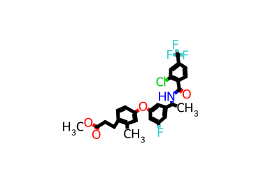 COC(=O)CCc1ccc(Oc2cc(F)cc(C(C)NC(=O)c3ccc(C(F)(F)F)cc3Cl)c2)cc1C